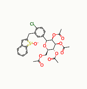 CC(=O)OC[C@H]1OC(c2ccc(Cl)c(Cc3cc4ccccc4[s+]3[O-])c2)[C@@H](OC(C)=O)[C@@H](OC(C)=O)[C@@H]1OC(C)=O